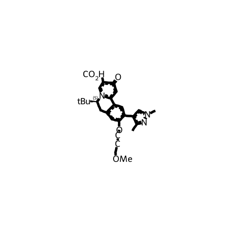 COCCCOc1cc2c(cc1-c1cn(C)nc1C)-c1cc(=O)c(C(=O)O)cn1[C@H](C(C)(C)C)C2